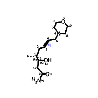 C[C@H](C/C=C/CN1CCOCC1)[C@@H](O)CC(N)=O